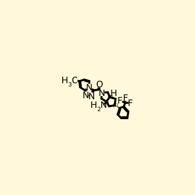 Cc1ccn2c(C(=O)N3C[C@@H]4C[C@H](c5ccccc5C(F)(F)F)C[C@]4(N)C3)nnc2c1